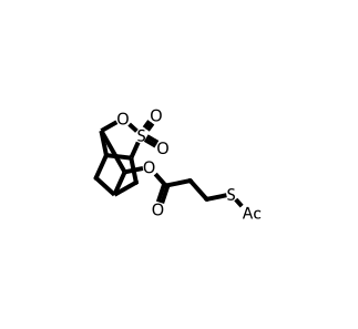 CC(=O)SCCC(=O)OC1C2CC3C1OS(=O)(=O)C3C2